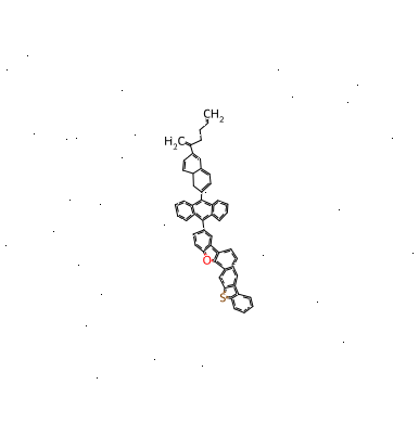 C=CCCC(=C)C1=CC2=CC=C(c3c4ccccc4c(-c4ccc5oc6c7cc8sc9ccccc9c8cc7ccc6c5c4)c4ccccc34)CC2C=C1